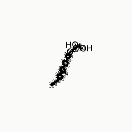 C=C(CO)[C@H](O)OCCOc1ccc(C2CCC(c3ccc(-c4ccc(CCCCC)cc4)c(C)c3)CC2)cc1